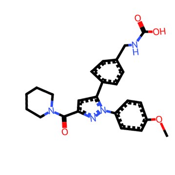 COc1ccc(-n2nc(C(=O)N3CCCCC3)cc2-c2ccc(CNC(=O)O)cc2)cc1